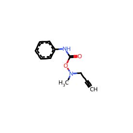 C#CCN(C)OC(=O)Nc1ccccc1